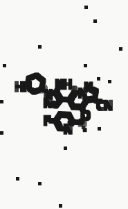 C[C@@H](Oc1cc(-c2cnn([C@H]3CCCNC3)c2N)cn2ncc(C#N)c12)c1ccc(F)cn1